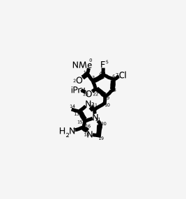 CNC(=O)c1c(F)c(Cl)cc(Cc2nc(C)c3c(N)nccn23)c1OC(C)C